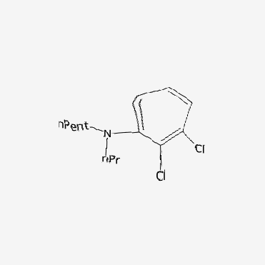 CCCCCN(CCC)c1cccc(Cl)c1Cl